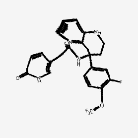 O=C(NC1(c2ccc(OC(F)(F)F)c(F)c2)CCNc2cccnc21)c1ccc(=O)[nH]c1